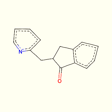 O=C1c2ccccc2CC1Cc1ccccn1